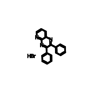 Br.c1ccc(-c2nc3cccnc3nc2-c2ccccc2)cc1